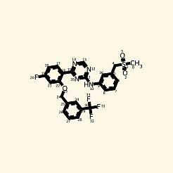 CS(=O)(=O)Cc1cccc(Nc2ncnc(-c3ccc(F)cc3OCc3cccc(C(F)(F)F)c3)n2)c1